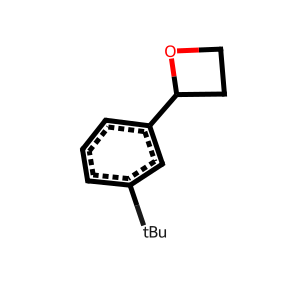 CC(C)(C)c1cccc(C2CCO2)c1